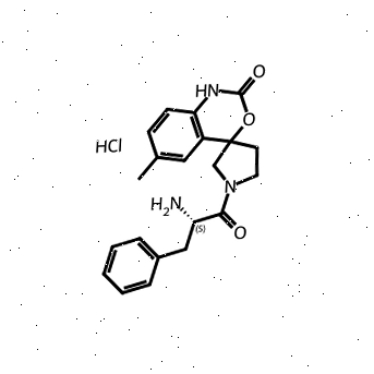 Cc1ccc2c(c1)C1(CCN(C(=O)[C@@H](N)Cc3ccccc3)C1)OC(=O)N2.Cl